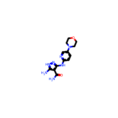 NC(=O)c1c(Nc2ccc(N3CCOCC3)cn2)n[nH]c1N